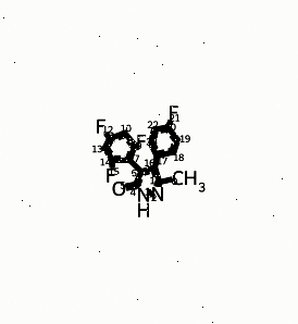 Cc1n[nH]c(=O)c(-c2c(F)cc(F)cc2F)c1-c1ccc(F)cc1